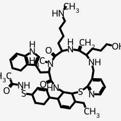 C=C1NC(CCCCNC)C(=O)N(C)C(Cc2c[nH]c3c2CCC=C3)C(=O)NC2C(C3C=CC(SNC(C)=O)CC3)C=CC(CC)C2Sc2ncccc2CNC1CCCO